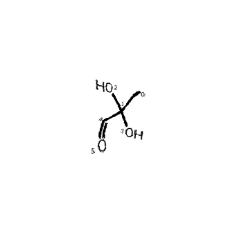 CC(O)(O)C=O